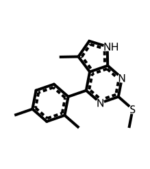 CSc1nc(-c2ccc(C)cc2C)c2c(C)c[nH]c2n1